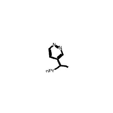 CCCC(C)c1ccnnc1